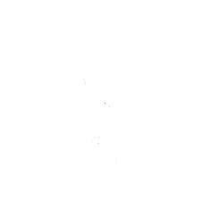 CCCCCCCCC=CCCCCCCCC(=O)OS(=O)(=O)OCC(O)CO.[NaH]